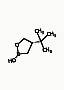 CC(C)(C)[C@H]1COB(O)C1